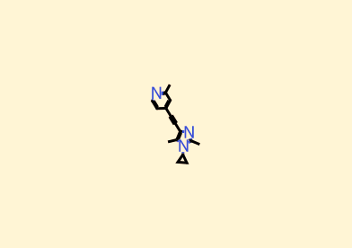 Cc1cc(C#Cc2nc(C)n(C3CC3)c2C)ccn1